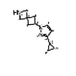 c1cn(C2CC3(CNC3)C2)nc1C1CC1